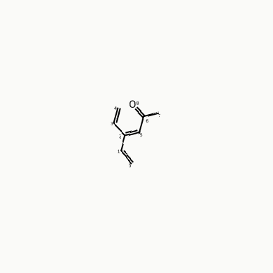 C=CC(C=C)=CC(C)=O